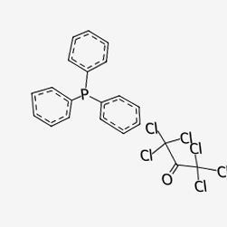 O=C(C(Cl)(Cl)Cl)C(Cl)(Cl)Cl.c1ccc(P(c2ccccc2)c2ccccc2)cc1